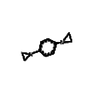 c1cc(N2CC2)ccc1N1CC1